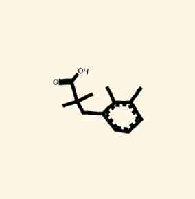 Cc1cccc(CC(C)(C)C(=O)O)c1C